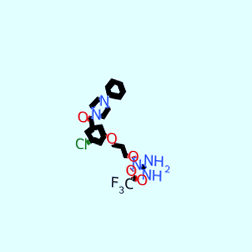 N=C(N)N(OCCCOc1cc(Cl)cc(C(=O)N2CCN(c3ccccc3)CC2)c1)OC(=O)C(F)(F)F